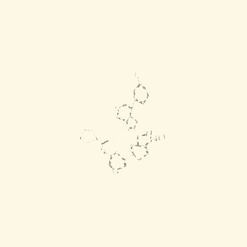 O=C(Nc1cncc(-c2ccc3[nH]nc(-c4cc5c(-c6cccc(F)c6)cncc5[nH]4)c3c2)c1)C1CCCC1